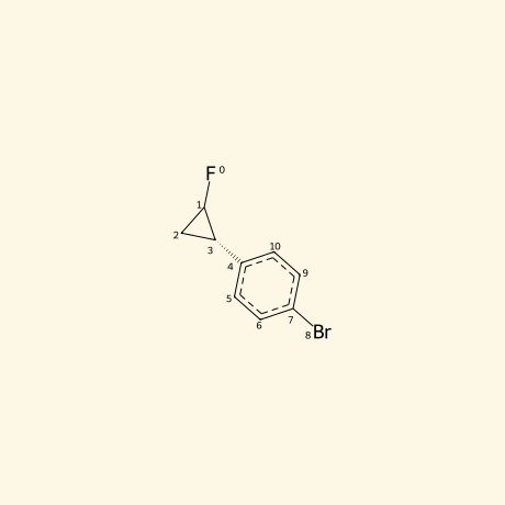 FC1C[C@H]1c1ccc(Br)cc1